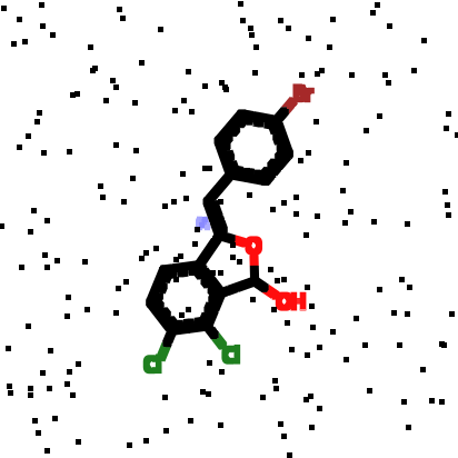 OC1O/C(=C\c2ccc(Br)cc2)c2ccc(Cl)c(Cl)c21